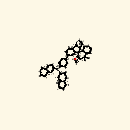 CC1(C)c2ccccc2C2(c3ccccc3-c3ccc(-c4ccc(N(c5ccc6ccccc6c5)c5ccc6ccccc6c5)cc4)cc32)c2ccccc21